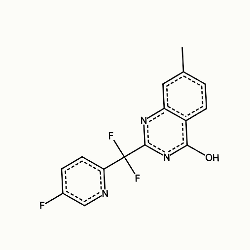 Cc1ccc2c(O)nc(C(F)(F)c3ccc(F)cn3)nc2c1